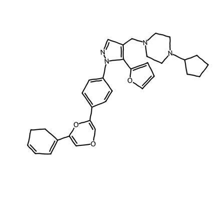 C1=CCCC(C2=COC=C(c3ccc(-n4ncc(CN5CCN(C6CCCC6)CC5)c4-c4ccco4)cc3)O2)=C1